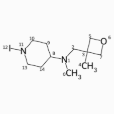 CN(CC1(C)COC1)C1CCN(I)CC1